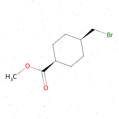 COC(=O)[C@H]1CC[C@@H](CBr)CC1